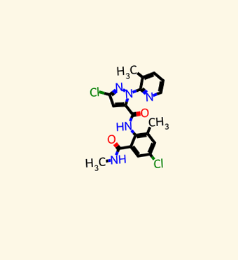 CNC(=O)c1cc(Cl)cc(C)c1NC(=O)c1cc(Cl)nn1-c1ncccc1C